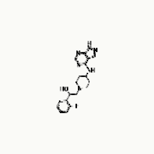 OC(CN1CCC(Nc2ncnc3[nH]ncc23)CC1)c1ccccc1F